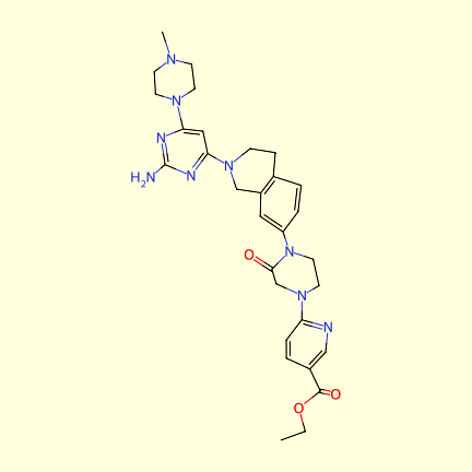 CCOC(=O)c1ccc(N2CCN(c3ccc4c(c3)CN(c3cc(N5CCN(C)CC5)nc(N)n3)CC4)C(=O)C2)nc1